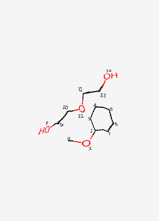 COC1CCCCC1.OCCOCCO